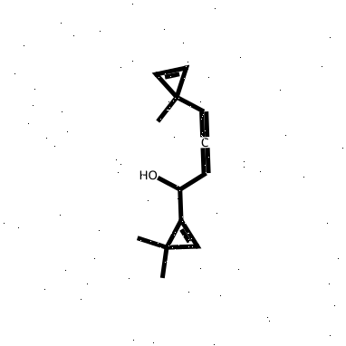 CC1(C=C=CC(O)C2=CC2(C)C)C=C1